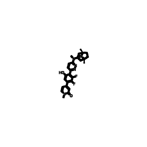 CN(c1ccc(-c2c(O)cc(-c3ccn(C)c(=O)c3)c(F)c2F)nn1)C1C[C@]2(C)CC[C@](C)(C1)N2